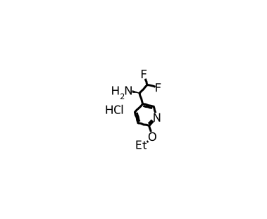 CCOc1ccc([C@@H](N)C(F)F)cn1.Cl